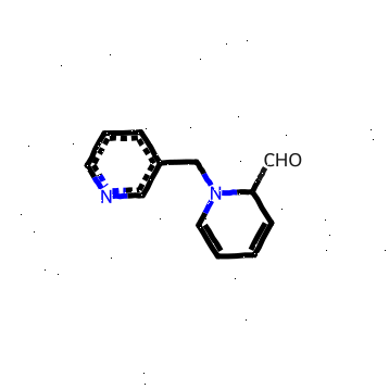 O=CC1C=CC=CN1Cc1cccnc1